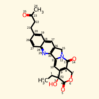 CC[C@@]1(O)C(=O)OCc2c1cc1n(c2=O)Cc2cc3cc(CCC(C)=O)ccc3nc2-1